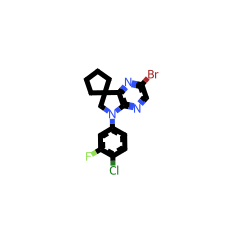 Fc1cc(N2CC3(CCCC3)c3nc(Br)cnc32)ccc1Cl